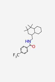 CC1(C)CC(CNC(=O)c2ccc(C(F)(F)F)cc2)C2CCCCC2C1(C)C